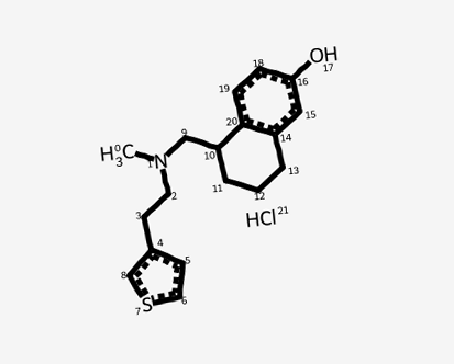 CN(CCc1ccsc1)CC1CCCc2cc(O)ccc21.Cl